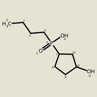 CCCCP(=O)(O)C1CCC(O)C1